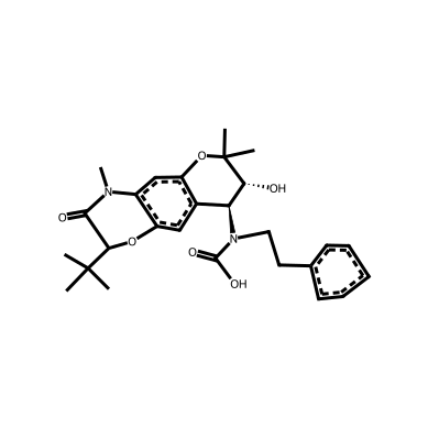 CN1C(=O)C(C(C)(C)C)Oc2cc3c(cc21)OC(C)(C)[C@H](O)[C@H]3N(CCc1ccccc1)C(=O)O